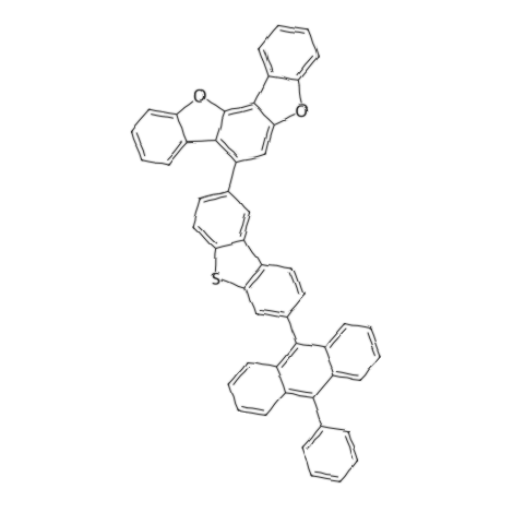 c1ccc(-c2c3ccccc3c(-c3ccc4c(c3)sc3ccc(-c5cc6oc7ccccc7c6c6oc7ccccc7c56)cc34)c3ccccc23)cc1